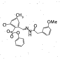 COc1cccc(CC(=O)NN=Cc2cc(C)cc(Cl)c2S(=O)(=O)Oc2ccccc2)c1